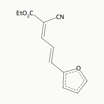 CCOC(=O)/C(C#N)=C/C=C/c1ccco1